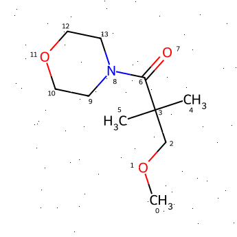 COCC(C)(C)C(=O)N1CCOCC1